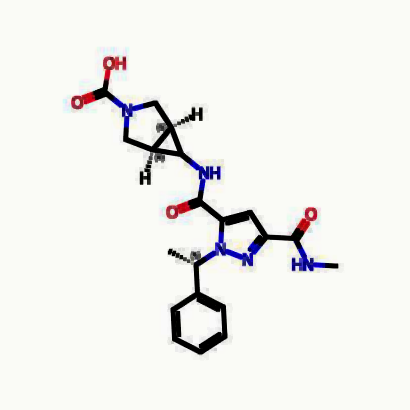 CNC(=O)c1cc(C(=O)NC2[C@H]3CN(C(=O)O)C[C@@H]23)n([C@@H](C)c2ccccc2)n1